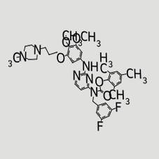 COc1cc(Nc2nccc(N(Cc3cc(F)cc(F)c3)C(=O)Oc3c(C)cc(C)cc3C)n2)cc(OCCCN2CCN(C)CC2)c1OC